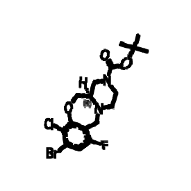 CC(C)(C)OC(=O)N1CCN2Cc3c(F)cc(Br)c(Cl)c3OC[C@H]2C1